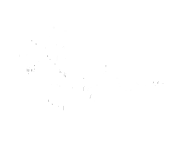 COc1ccc(S(=O)(=O)CC(C)(O)CNC(Cc2ccccc2)(N[C@H](C(N)=O)C(C)(C)C)C(C)C(=O)CN(C)C)cc1